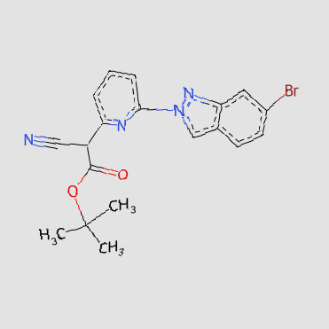 CC(C)(C)OC(=O)C(C#N)c1cccc(-n2cc3ccc(Br)cc3n2)n1